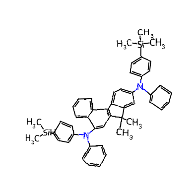 C[SiH](C)c1ccc(N(c2ccccc2)c2cc3c(c4ccccc24)-c2ccc(N(c4ccccc4)c4ccc([Si](C)(C)C)cc4)cc2C3(C)C)cc1